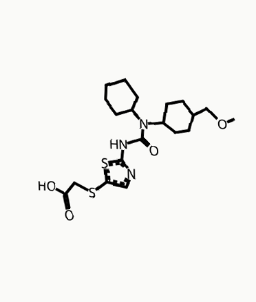 COCC1CCC(N(C(=O)Nc2ncc(SCC(=O)O)s2)C2CCCCC2)CC1